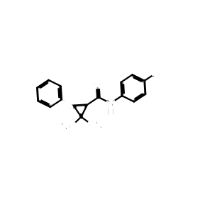 N#CC1(C#N)C(C(=O)Nc2ccc(Br)cc2)[C@H]1c1ccccc1